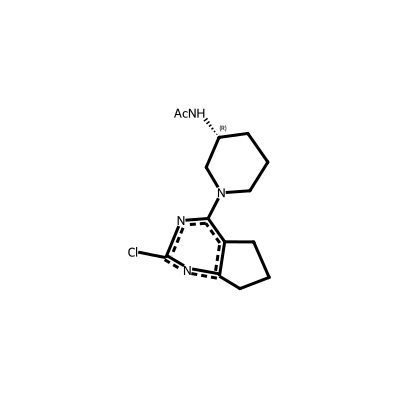 CC(=O)N[C@@H]1CCCN(c2nc(Cl)nc3c2CCC3)C1